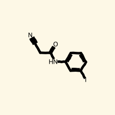 N#CCC(=O)Nc1cccc(I)c1